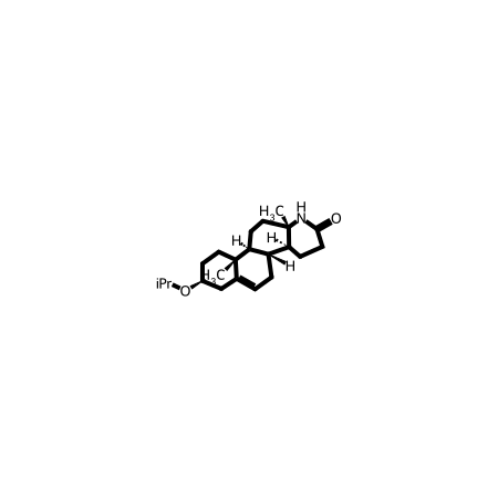 CC(C)O[C@H]1CC[C@@]2(C)C(=CC[C@@H]3[C@@H]2CC[C@]2(C)NC(=O)CC[C@@H]32)C1